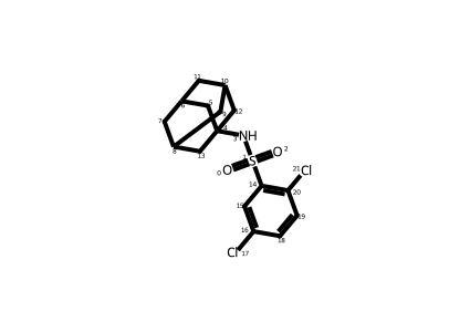 O=S(=O)(NC12CC3CC(CC(C3)C1)C2)c1cc(Cl)ccc1Cl